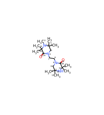 CN1C(C)(C)CN(CCN2CC(C)(C)NC(C)(C)C2=O)C(=O)C1(C)C